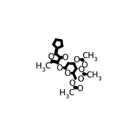 CC(=O)OCC1OC(OC2=C(C)OC(=C3CCCC3)C2=O)CC(OC(C)=O)[C@@H]1OC(C)=O